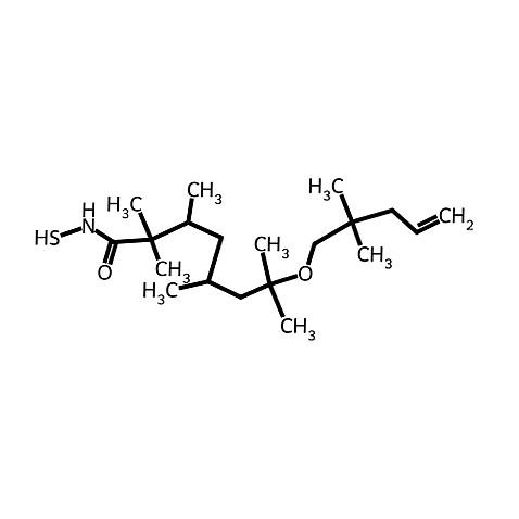 C=CCC(C)(C)COC(C)(C)CC(C)CC(C)C(C)(C)C(=O)NS